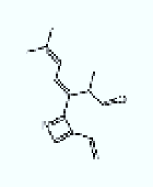 C=CC1=CN=C1/C(=C/C=C(C)C)C(C)C=O